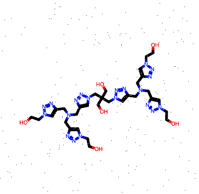 OCCn1cc(CN(Cc2cn(CCO)nn2)Cc2cn(CC(CO)(CO)Cn3cc(CN(Cc4cn(CCO)nn4)Cc4cn(CCO)nn4)nn3)nn2)nn1